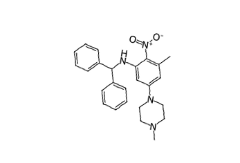 Cc1cc(N2CCN(C)CC2)cc(NC(c2ccccc2)c2ccccc2)c1[N+](=O)[O-]